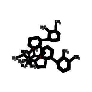 Cc1cccc(-c2cccc3c2C=C[CH]3[Hf]([CH3])([CH3])(=[SiH2])([CH](C)C)([CH](C)C)[CH]2C=Cc3c(-c4cccc(C)c4C)cccc32)c1C